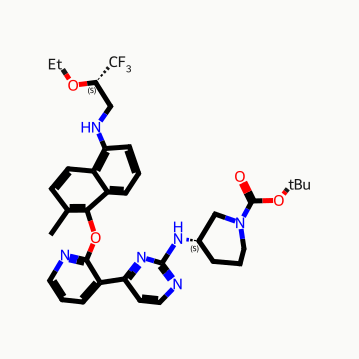 CCO[C@@H](CNc1cccc2c(Oc3ncccc3-c3ccnc(N[C@H]4CCCN(C(=O)OC(C)(C)C)C4)n3)c(C)ccc12)C(F)(F)F